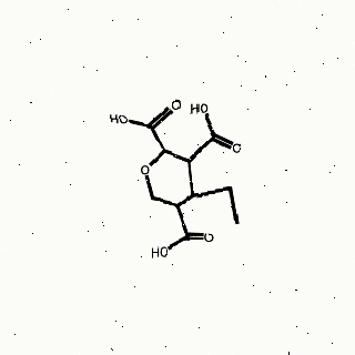 CCC1C(C(=O)O)COC(C(=O)O)C1C(=O)O